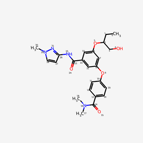 CCC(CO)Oc1cc(Oc2ccc(C(=O)N(C)C)cc2)cc(C(=O)Nc2ccn(C)n2)c1